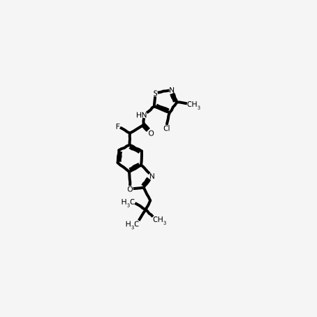 Cc1nsc(NC(=O)C(F)c2ccc3oc(CC(C)(C)C)nc3c2)c1Cl